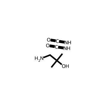 CC(C)(O)CN.N=C=O.N=C=O